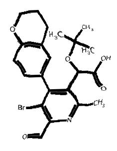 Cc1nc(C=O)c(Br)c(-c2ccc3c(c2)CCCO3)c1C(OC(C)(C)C)C(=O)O